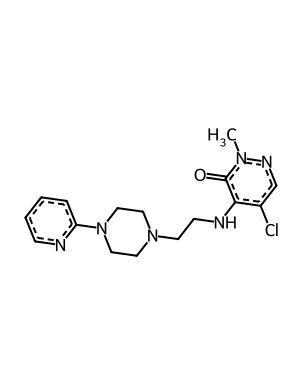 Cn1ncc(Cl)c(NCCN2CCN(c3ccccn3)CC2)c1=O